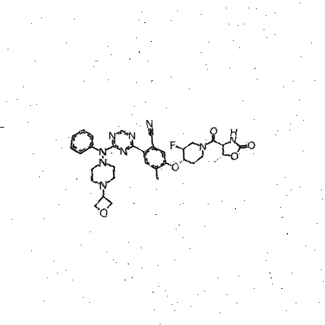 Cc1cc(-c2ncnc(N(c3ccccc3)N3CCN(C4COC4)CC3)n2)c(C#N)cc1O[C@H]1CCN(C(=O)[C@H]2NC(=O)O[C@@H]2C)C[C@@H]1F